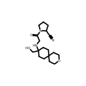 N#CC1CCCN1C(=O)CNC1(CO)CCC2(CCOCC2)CC1